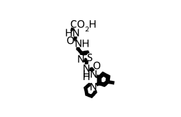 Cc1ccc(NC(=O)Nc2nc(CNC(=O)NCC(=O)O)cs2)c(N2CCCCC2)c1